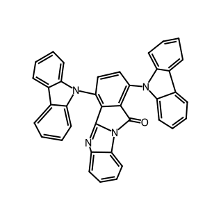 O=C1c2c(-n3c4ccccc4c4ccccc43)ccc(-n3c4ccccc4c4ccccc43)c2-c2nc3ccccc3n21